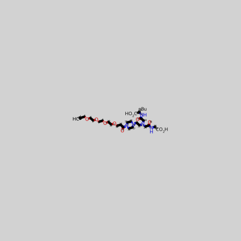 C#CCOCCOCCOCCOCCC(=O)N1CCN(CCN(CC(=O)NCC(=O)O)CC(=O)NC(CCCC)C(=O)O)CC1